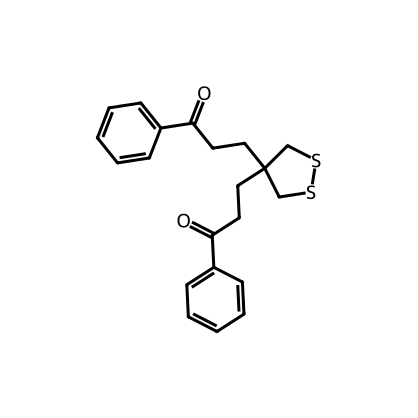 O=C(CCC1(CCC(=O)c2ccccc2)CSSC1)c1ccccc1